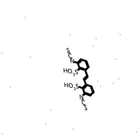 O=S(=O)(O)c1c(/C=C/c2cccc(N=C=S)c2S(=O)(=O)O)cccc1N=C=S